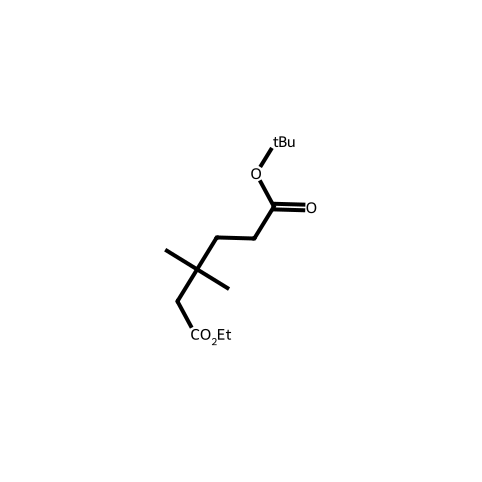 CCOC(=O)CC(C)(C)CCC(=O)OC(C)(C)C